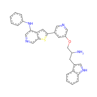 NC(COc1cncc(-c2cc3c(Nc4ccccc4)cncc3s2)c1)Cc1c[nH]c2ccccc12